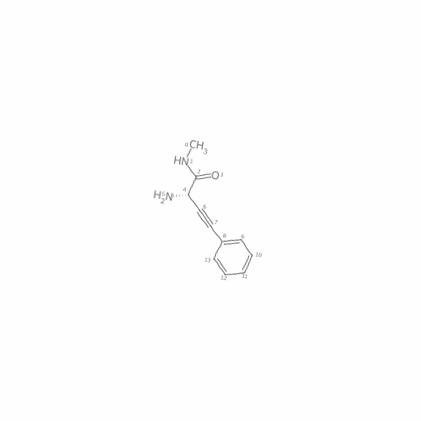 CNC(=O)[C@@H](N)C#Cc1ccccc1